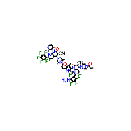 C=CC(=O)N1[C@H](C)CN(c2c(C#N)c(=O)n(-c3c(C)cc(/C=C\C(=O)N4[C@H](C)CN(c5c(C#N)c(=O)n(-c6c(C)ccnc6C(C)C)c6nc(-c7c(F)c(F)c(F)c(F)c7F)c(Cl)cc56)C[C@@H]4C)nc3C(C)C)c3nc(-c4c(F)c(N)c(F)c(F)c4F)c(Cl)cc23)C[C@@H]1C